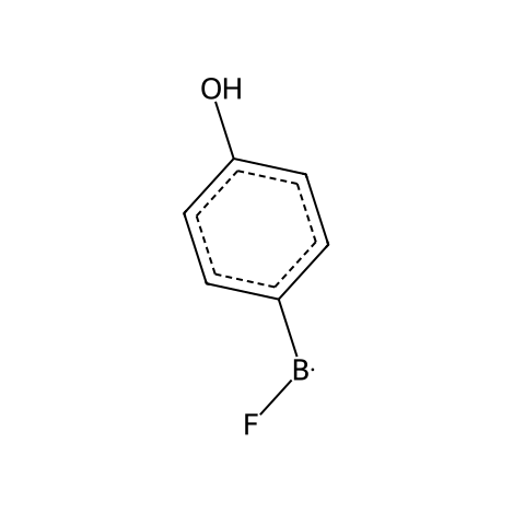 Oc1ccc([B]F)cc1